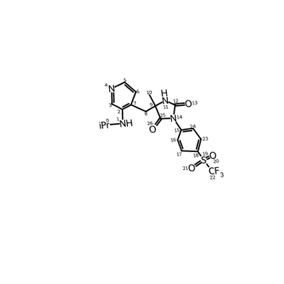 CC(C)Nc1cnccc1CC1(C)NC(=O)N(c2ccc(S(=O)(=O)C(F)(F)F)cc2)C1=O